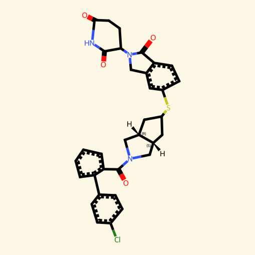 O=C1CCC(N2Cc3cc(SC4C[C@@H]5CN(C(=O)c6ccccc6-c6ccc(Cl)cc6)C[C@@H]5C4)ccc3C2=O)C(=O)N1